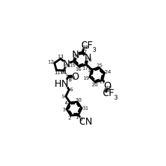 N#Cc1ccc(CCNC(=O)[C@@H]2CCCN2c2cc(-c3ccc(OC(F)(F)F)cc3)nc(C(F)(F)F)n2)cc1